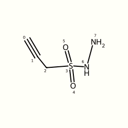 C#CCS(=O)(=O)NN